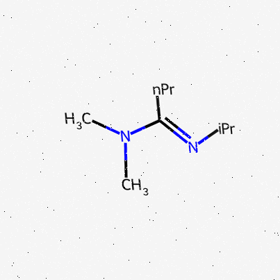 CCC/C(=N\C(C)C)N(C)C